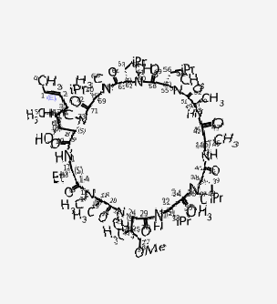 C/C=C/C[C@@H](C)[C@@H](O)[C@H]1C(=O)N[C@@H](CC)C(=O)N(C)[C@H](C)C(=O)N(C)[C@@H]([C@H](C)COC)C(=O)N[C@@H](C(C)C)C(=O)N(C)[C@@H](CC(C)C)C(=O)N[C@@H](C)C(=O)N[C@H](C)C(=O)N(C)[C@@H](CC(C)C)C(=O)N(C)[C@@H](CC(C)C)C(=O)N(C)[C@@H](C(C)C)C(=O)N1C